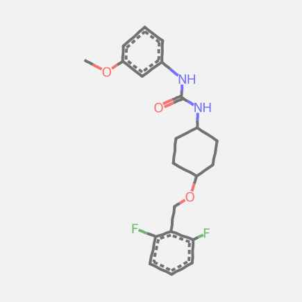 COc1cccc(NC(=O)NC2CCC(OCc3c(F)cccc3F)CC2)c1